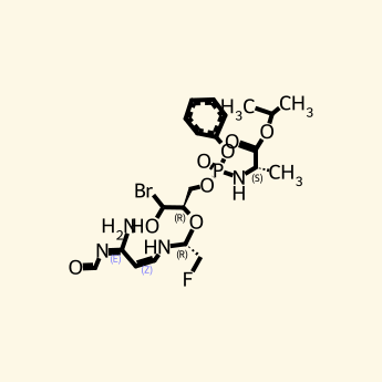 CC(C)OC(=O)[C@H](C)NP(=O)(OC[C@@H](O[C@H](CF)N/C=C\C(N)=N/C=O)C(O)Br)Oc1ccccc1